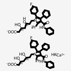 CC(C)c1c(C(=O)Nc2ccccc2)c(-c2ccccc2)c(-c2ccc(F)cc2)n1CC[C@@H](O)C[C@@H](O)CC(=O)[O-].CC(C)c1c(C(=O)Nc2ccccc2)c(-c2ccccc2)c(-c2ccc(F)cc2)n1CC[C@@H](O)C[C@@H](O)CC(=O)[O-].[Ca+2].[KH]